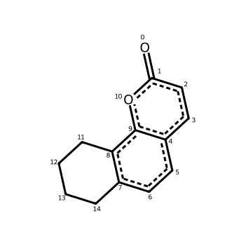 O=c1ccc2ccc3c(c2o1)CCCC3